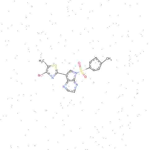 Cc1ccc(S(=O)(=O)n2cc(-c3nc(Br)c(C)s3)c3nccnc32)cc1